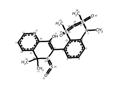 CN(c1cccc(C2=C(O)c3ncccc3C(C)(C)S2=S=O)c1S(C)(=O)=O)S(C)(=O)=O